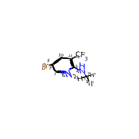 [2H]C([2H])([2H])Nc1ncc(Br)cc1C(F)(F)F